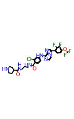 O=C(NCCCNC(=O)C1CCNCC1)c1ccc(Nc2nccn3c(-c4ccc(OC(F)F)c(F)c4F)cnc23)cc1Cl